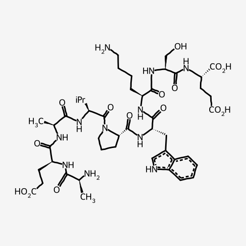 CC(C)[C@H](NC(=O)[C@H](C)NC(=O)[C@H](CCC(=O)O)NC(=O)[C@H](C)N)C(=O)N1CCC[C@H]1C(=O)N[C@@H](Cc1c[nH]c2ccccc12)C(=O)N[C@@H](CCCCN)C(=O)N[C@@H](CO)C(=O)N[C@@H](CCC(=O)O)C(=O)O